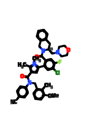 COc1cccc(CN(C(=O)c2cc(-c3cc(Cl)c(F)cc3C(=O)N3Cc4ccccc4C[C@H]3CN3CCOCC3)n(C)c2C)c2ccc(C#N)cc2)c1C